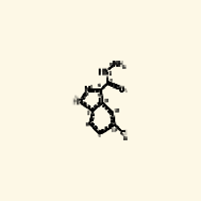 NNC(=O)c1n[nH]c2ccc(Cl)cc12